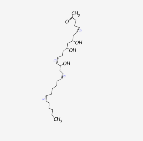 CCCCC/C=C\CCCC/C=C\CC(O)/C=C\CCC(O)CC(O)C/C=C\CCC(C)=O